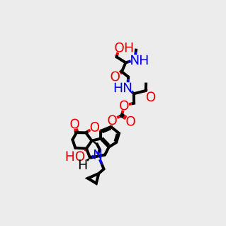 CNC(CO)C(=O)CNC(COC(=O)Oc1ccc2c3c1OC1C(=O)CC[C@@]4(O)[C@@H](C2)N(CC2CC2)CC[C@]314)C(C)=O